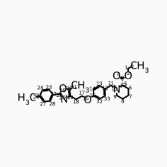 CCOC(=O)[C@@H]1CCCCN1Cc1ccc(OCCc2nc(-c3ccc(C)cc3)oc2C)cc1